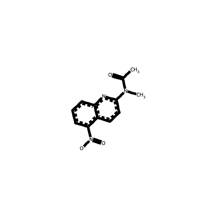 CC(=O)N(C)c1ccc2c([N+](=O)[O-])cccc2n1